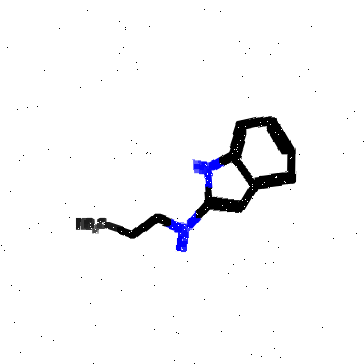 O=C(O)CCNc1cc2ccccc2[nH]1